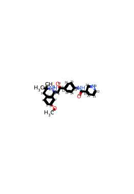 COc1ccc2c(c1)/C(=C/C(=O)c1ccc(NC(=O)c3cccnc3)cc1)NC(C)(C)C2